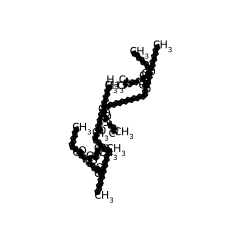 CCC/C=C/CCC(CC/C=C/CCCC(C)CCCC/C=C\COC(=O)CCCN(CC(=O)OC(CCCCCCC)CCCCCCCCCCCC/C=C\COC(=O)CN(CC(=O)OC(CCCCCCCC)CCCCCCCC)C(=O)SCCCCN(CC)CC)C(=O)SCCCN(C)C)OC(=O)CCCN(CCCC(=O)OC/C=C\CCCCCC)C(=O)SCCN(C)C